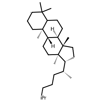 CC(C)CCC[C@@H](C)[C@H]1CC[C@@]2(C)[C@@H]3CCC4C(C)(C)[CH]CC[C@]4(C)[C@H]3CC[C@]12C